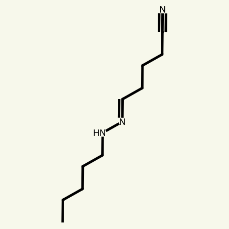 CCCCCNN=CCCCC#N